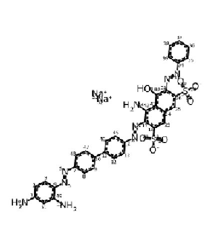 Nc1ccc(/N=N/c2ccc(-c3ccc(/N=N/c4c(S(=O)(=O)[O-])cc5cc(S(=O)(=O)[O-])c(/N=N/c6ccccc6)c(O)c5c4N)cc3)cc2)c(N)c1.[Na+].[Na+]